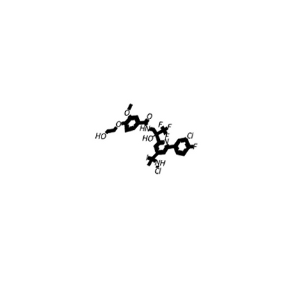 COc1cc(C(=O)NC[C@](O)(c2cc(C(C)(I)NCl)cc(-c3ccc(F)c(Cl)c3)n2)C(F)(F)F)ccc1OCCO